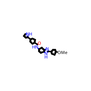 COc1ccc(-c2nc3cc(NC(=O)c4ccc(-c5ccc[nH]5)cc4)ccc3[nH]2)cc1